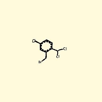 Clc1ccc(C(Cl)Cl)c(CBr)c1